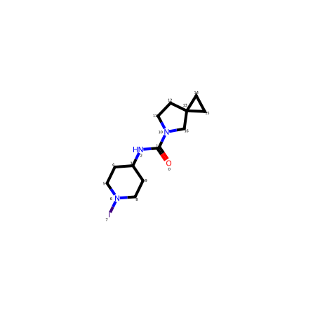 O=C(NC1CCN(I)CC1)N1CCC2(CC2)C1